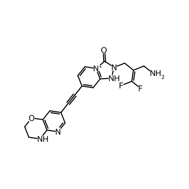 NCC(Cn1[nH]c2cc(C#Cc3cnc4c(c3)OCCN4)cc[n+]2c1=O)=C(F)F